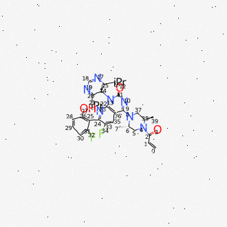 C=CC(=O)N1C[C@H](C)N(c2nc(=O)n(-c3c(C(C)C)ncnc3C(C)C)c3nc(-c4c(O)cccc4F)c(F)cc23)C[C@H]1C